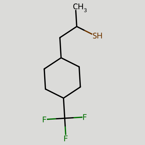 CC(S)CC1CCC(C(F)(F)F)CC1